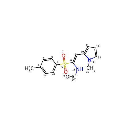 Cc1ccc(S(=O)(=O)C(=Cc2cccn2C)NC=O)cc1